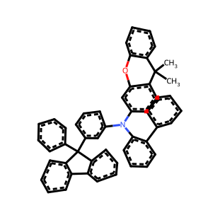 CC1(C)c2ccccc2Oc2cc(N(c3cccc(C4(c5ccccc5)c5ccccc5-c5ccccc54)c3)c3ccccc3-c3ccccc3)ccc21